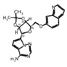 CC1(C)O[C@@H]2[C@H](O1)[C@@H](COc1ccc3cccnc3c1)O[C@H]2c1ccc2c(N)ncnn12